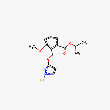 COc1cccc(C(=O)OC(C)C)c1COc1ccn(S)n1